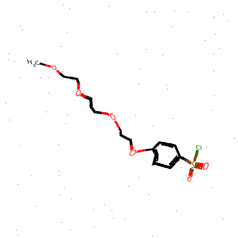 COCCOCCOCCOc1ccc(S(=O)(=O)Cl)cc1